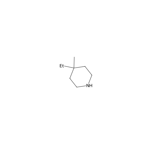 CCC1(C)CCNCC1